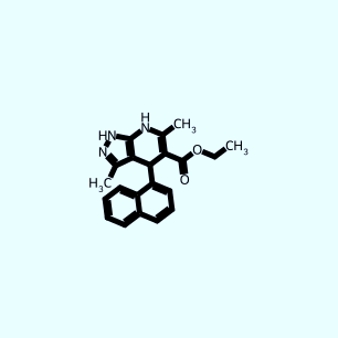 CCOC(=O)C1=C(C)Nc2[nH]nc(C)c2C1c1cccc2ccccc12